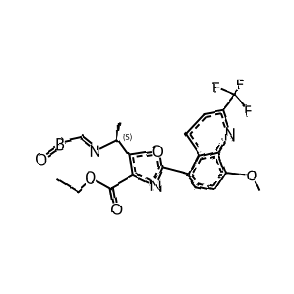 CCOC(=O)c1nc(-c2ccc(OC)c3nc(C(F)(F)F)ccc23)oc1[C@H](C)N=CB=O